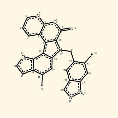 O=c1oc2ncccc2c2c3c4occc4c(F)cc3n(Cc3cc4cn[nH]c4cc3F)c12